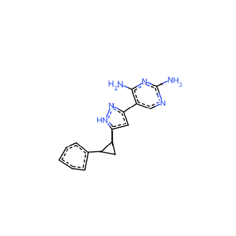 Nc1ncc(-c2cc(C3CC3c3ccccc3)[nH]n2)c(N)n1